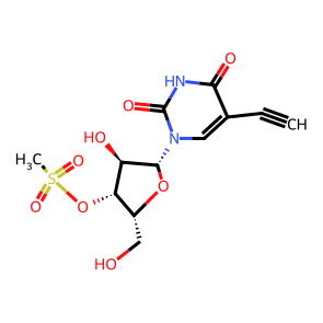 C#Cc1cn([C@@H]2O[C@H](CO)[C@H](OS(C)(=O)=O)[C@H]2O)c(=O)[nH]c1=O